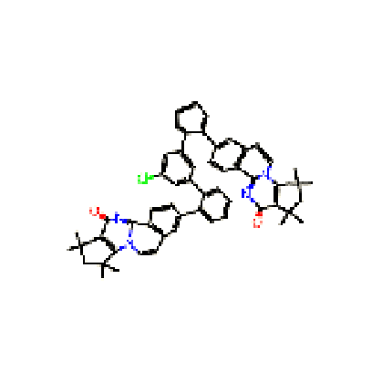 CC1(C)CC(C)(C)c2c1c(=O)nc1c3ccc(-c4ccccc4-c4cc(Cl)cc(-c5ccccc5-c5ccc6c(ccn7c8c(c(=O)nc67)C(C)(C)CC8(C)C)c5)c4)cc3ccn21